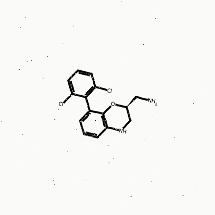 NC[C@H]1CNc2cccc(-c3c(Cl)cccc3Cl)c2O1